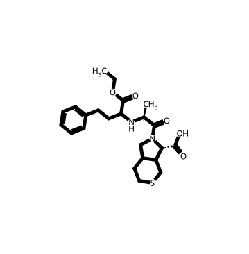 CCOC(=O)C(CCc1ccccc1)N[C@@H](C)C(=O)N1CC2CCSCC2[C@H]1C(=O)O